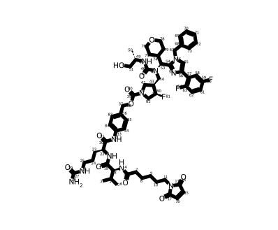 CC(C)[C@H](NC(=O)CCCCCN1C(=O)C=CC1=O)C(=O)N[C@@H](CCCNC(N)=O)C(=O)Nc1ccc(COC(=O)N2C[C@@H](CN(C(=O)N[C@@H](C)CO)[C@@H](c3nc(-c4cc(F)ccc4F)cn3Cc3ccccc3)C3CCOCC3)[C@@H](F)C2)cc1